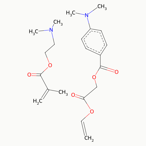 C=C(C)C(=O)OCCN(C)C.C=COC(=O)COC(=O)c1ccc(N(C)C)cc1